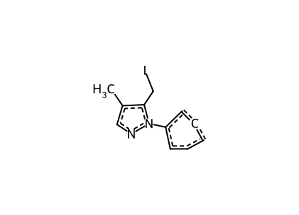 Cc1cnn(-c2ccccc2)c1CI